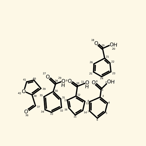 O=C(O)c1ccccc1.O=C(O)c1ccccc1.O=C(O)c1ccccc1.O=C(O)c1ccccc1.O=Cc1ccco1